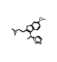 COc1ccc2c(c1)CC(CCN(C)C)=C2C(C)n1ccnn1